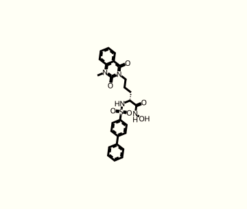 Cn1c(=O)n(CCC[C@@H](NS(=O)(=O)c2ccc(-c3ccccc3)cc2)C(=O)NO)c(=O)c2ccccc21